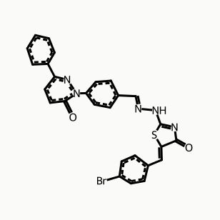 O=C1N=C(NN=Cc2ccc(-n3nc(-c4ccccc4)ccc3=O)cc2)SC1=Cc1ccc(Br)cc1